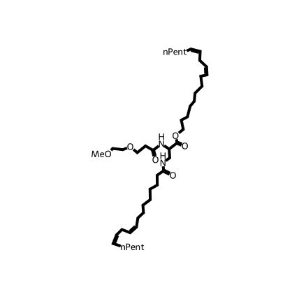 CCCCC/C=C\C/C=C\CCCCCCCCOC(=O)C(CNC(=O)CCCCCCC/C=C\C/C=C\CCCCC)NC(=O)CCOCCOC